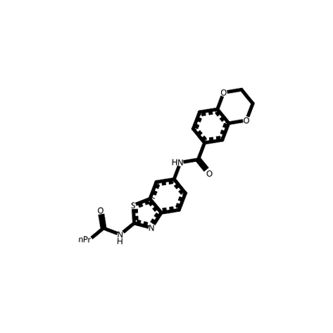 CCCC(=O)Nc1nc2ccc(NC(=O)c3ccc4c(c3)OCCO4)cc2s1